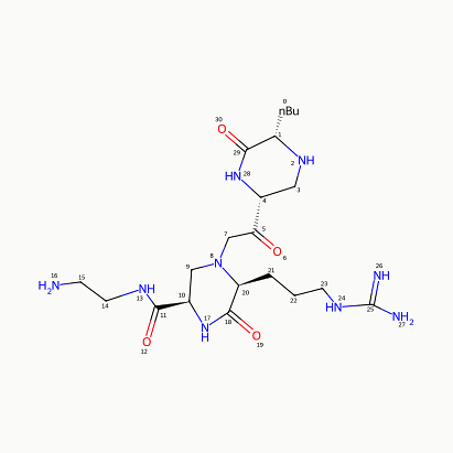 CCCC[C@@H]1NC[C@H](C(=O)CN2C[C@H](C(=O)NCCN)NC(=O)[C@@H]2CCCNC(=N)N)NC1=O